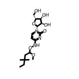 CCC(C)(C)CC(OC)ONc1ccn([C@@H]2O[C@H](CO)[C@@H](O)[C@H]2O)c(=O)n1